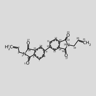 C=CCN1C(=O)c2ccc(-c3ccc4c(c3)C(=O)N(CC=C)C4=O)cc2C1=O